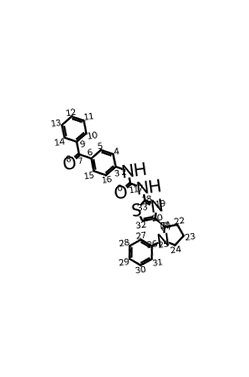 O=C(Nc1ccc(C(=O)c2ccccc2)cc1)Nc1nc([C@H]2CCCN2c2ccccc2)cs1